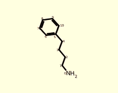 NCCCCc1c[c]ccc1